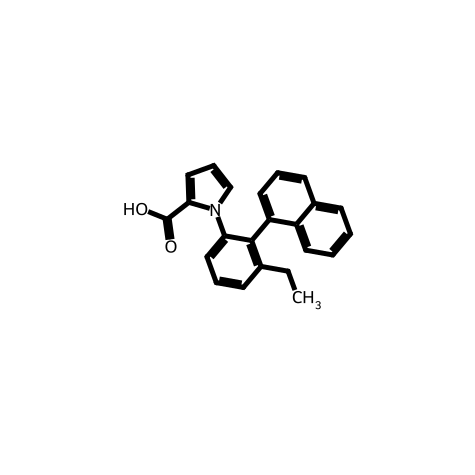 CCc1cccc(-n2cccc2C(=O)O)c1-c1cccc2ccccc12